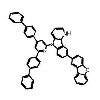 C1=CNC2C(=C1)N(c1cc(-c3ccc(-c4ccccc4)cc3)cc(-c3ccc(-c4ccccc4)cc3)n1)c1ccc(-c3ccc4oc5ccccc5c4c3)cc12